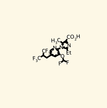 CCc1nc(C(=O)O)c(C)n1-c1ncc(CC(C(F)(F)F)C(F)(F)F)cc1OC(F)F